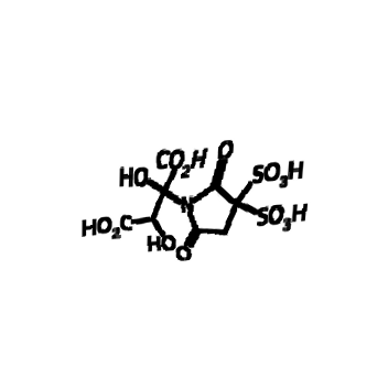 O=C(O)C(O)C(O)(C(=O)O)N1C(=O)CC(S(=O)(=O)O)(S(=O)(=O)O)C1=O